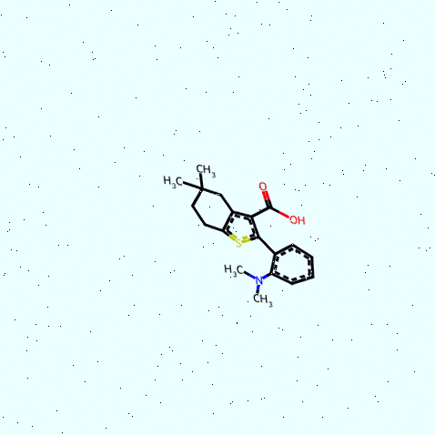 CN(C)c1ccccc1-c1sc2c(c1C(=O)O)CC(C)(C)CC2